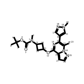 CN(C(=O)OC(C)(C)C)C1CC(Oc2nc(-c3cnn(C)c3)c(F)n3nccc23)C1